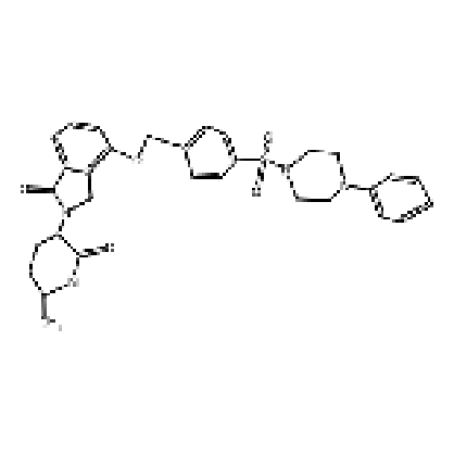 C=C1CCC(N2Cc3c(OCc4ccc(S(=O)(=O)N5CCN(c6ccccc6)CC5)cc4)cccc3C2=O)C(=O)N1